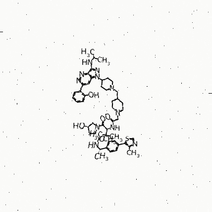 Cc1ncsc1-c1ccc([C@H](C)NC(=O)[C@@H]2C[C@@H](O)CN2C(=O)[C@@H](NC(=O)CN2CCC(CN3CCC(n4nc(NC(C)C)c5nnc(-c6ccccc6O)cc54)CC3)CC2)C(C)(C)C)cc1